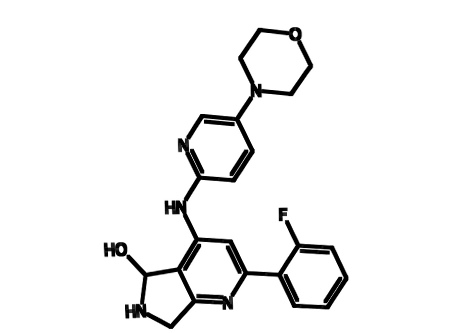 OC1NCc2nc(-c3ccccc3F)cc(Nc3ccc(N4CCOCC4)cn3)c21